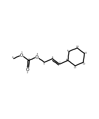 COC(=O)OCC=CC1CCCCC1